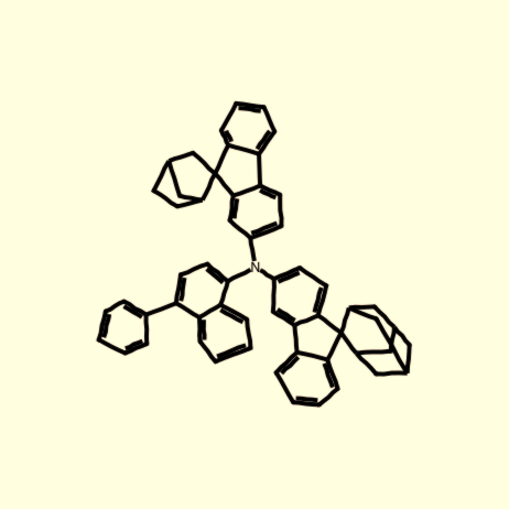 c1ccc(-c2ccc(N(c3ccc4c(c3)-c3ccccc3C43C4CC5CC(C4)CC3C5)c3ccc4c(c3)C3(CC5CCC3C5)c3ccccc3-4)c3ccccc23)cc1